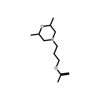 C=C(C)OCCCN1CC(C)OC(C)C1